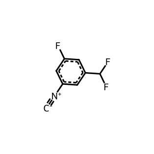 [C-]#[N+]c1cc(F)cc(C(F)F)c1